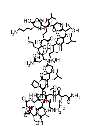 CC[C@H](C)[C@H](NC(=O)[C@H](CCCCN)NC(=O)[C@H](CCSC)NC(=O)[C@H](CC(N)=O)NC(=O)[C@H](CO)NC(=O)[C@H](CC(C)C)NC(=O)[C@@H]1CCCN1C(=O)[C@H](CCCCN)NC(=O)[C@H](CC(=O)O)NC(=O)[C@H](C)NC(=O)[C@H](CO)NC(=O)[C@H](C)NC(=O)[C@H](CO)NC(=O)[C@H](CO)NC(=O)[C@@H](N)CC(N)=O)C(=O)N[C@@H](CC(C)C)C(=O)N[C@H](C(=O)N[C@@H](CC(C)C)C(=O)NCC(=O)N[C@@H](CCCCN)C(=O)O)[C@@H](C)O